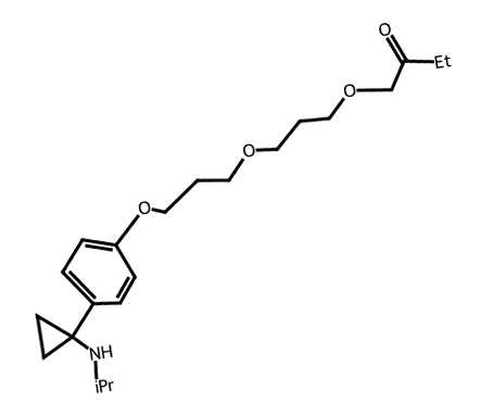 CCC(=O)COCCCOCCCOc1ccc(C2(NC(C)C)CC2)cc1